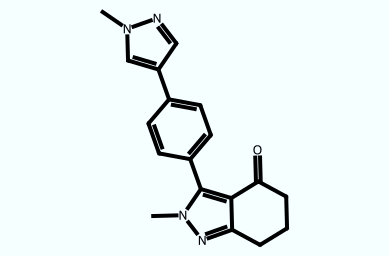 Cn1cc(-c2ccc(-c3c4c(nn3C)CCCC4=O)cc2)cn1